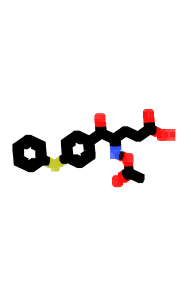 CC(=O)ON=C(CCC(=O)O)C(=O)c1ccc(Sc2ccccc2)cc1